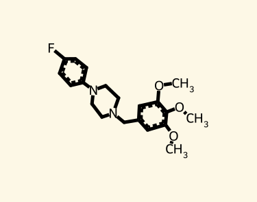 COc1cc(CN2CCN(c3ccc(F)cc3)CC2)cc(OC)c1OC